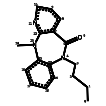 CCCCN1C(=O)c2cccnc2N(C)c2ccccc21